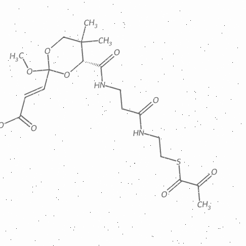 COC1(/C=C/C(=O)O)OCC(C)(C)[C@H](C(=O)NCCC(=O)NCCSC(=O)C(C)=O)O1